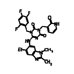 CCc1cc2nc(C)n(C)c2cc1Nc1nc(=O)n(Cc2ccc[nH]c2=O)c(=O)n1Cc1cc(F)c(F)cc1F